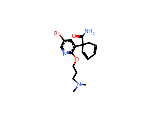 CN(C)CCCOc1ncc(Br)cc1C1(C(N)=O)C=CC=CC1